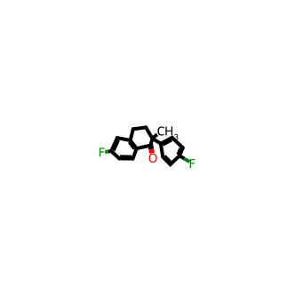 CC1(c2ccc(F)cc2)CCc2cc(F)ccc2C1=O